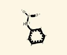 O=[N+]([O-])Bc1ccccc1